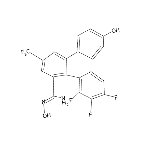 NC(=NO)c1cc(C(F)(F)F)cc(-c2ccc(O)cc2)c1-c1ccc(F)c(F)c1F